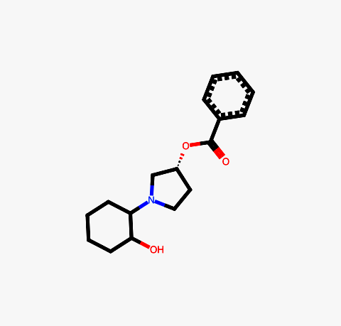 O=C(O[C@@H]1CCN(C2CCCCC2O)C1)c1ccccc1